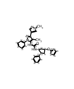 Cc1c(-c2cnn(C)c2)nn(-c2ccccc2)c1NC(=O)N[C@@H]1C[C@@H](Oc2nccs2)C[C@H]1c1ccccc1